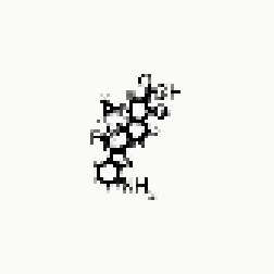 NC1CCCc2cc(-c3ccc4c(=O)c(C(=O)O)cn(C5CC5)c4c3OC(F)F)sc21